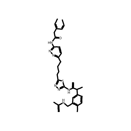 C=C(C)NCc1cc(C(C)C(=C)Nc2nnc(CCCCc3ccc(NC(=O)CC(/C=C\C)=C/C)nn3)s2)ccc1C